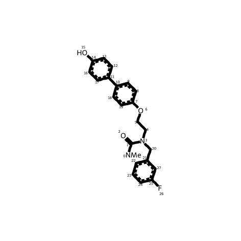 CNC(=O)N(CCOc1ccc(-c2ccc(O)cc2)cc1)Cc1cccc(F)c1